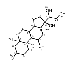 C[C@]12CC(O)C3C(CC[C@@H]4C[C@H](O)CC[C@]34C)C1CC[C@]2(O)C(O)CO